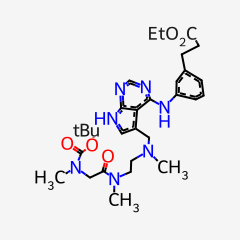 CCOC(=O)CCc1cccc(Nc2ncnc3[nH]cc(CN(C)CCN(C)C(=O)CN(C)C(=O)OC(C)(C)C)c23)c1